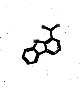 CCC([S])c1cccc2c1[nH]c1ccccc12